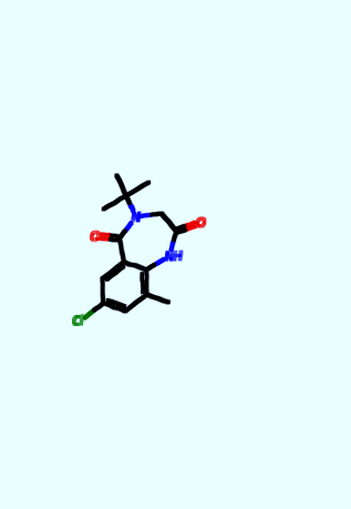 Cc1cc(Cl)cc2c1NC(=O)CN(C(C)(C)C)C2=O